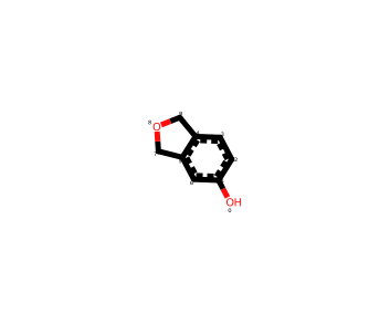 Oc1ccc2c(c1)COC2